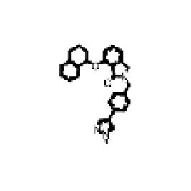 Cn1cc(-c2ccc(CN3Cc4cccc(OC5CCCc6ccccc65)c4C3=O)cc2)cn1